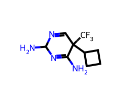 NC1=NC(N)N=CC1(C1CCC1)C(F)(F)F